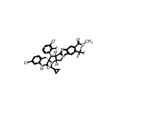 COC(=O)c1cc2nc3n(c2cc1C(F)(F)F)C[C@H]1[C@@H]3[C@H](c2cccc(Cl)c2F)[C@@]2(Cc3ccc(Cl)cc3NC2=O)N1CC1CC1